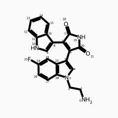 NCCn1cc(C2=C(c3c[nH]c4ccccc34)C(=O)NC2=O)c2cc(F)ccc21